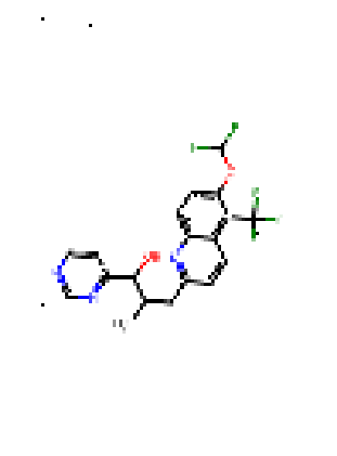 CC(Cc1ccc2c(C(F)(F)F)c(OC(F)F)ccc2n1)C(O)c1ccncn1